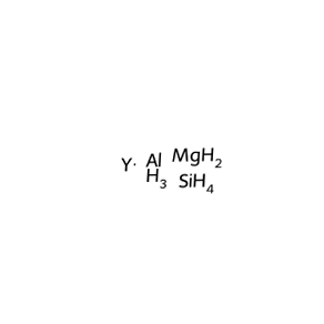 [AlH3].[MgH2].[SiH4].[Y]